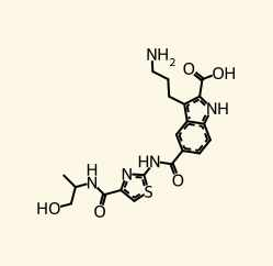 CC(CO)NC(=O)c1csc(NC(=O)c2ccc3[nH]c(C(=O)O)c(CCCN)c3c2)n1